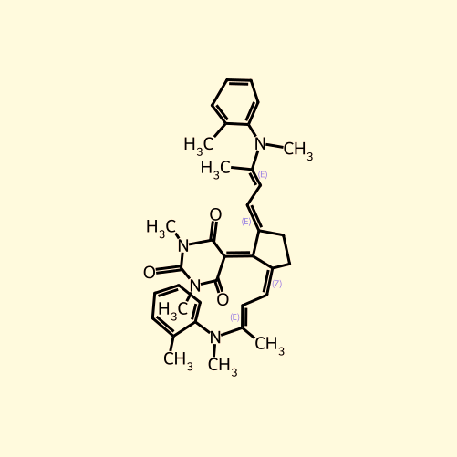 C/C(=C\C=C1\CC/C(=C\C=C(/C)N(C)c2ccccc2C)C1=C1C(=O)N(C)C(=O)N(C)C1=O)N(C)c1ccccc1C